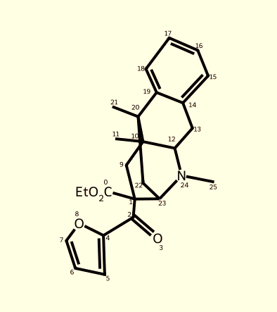 CCOC(=O)C1(C(=O)c2ccco2)CC2(C)C3Cc4ccccc4C2(C)CC1N3C